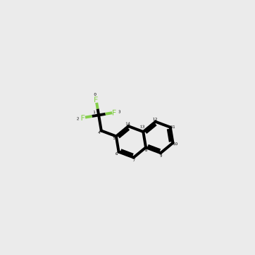 FC(F)(F)Cc1ccc2ccccc2c1